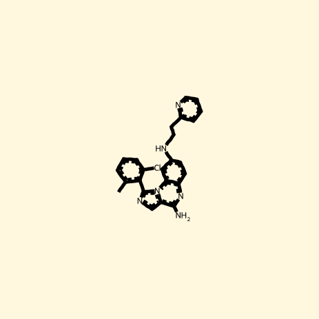 Cc1cccc(Cl)c1-c1ncc2c(N)nc3ccc(NCCc4ccccn4)cc3n12